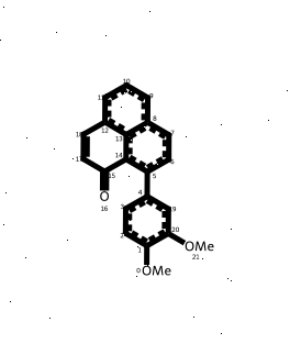 COc1ccc(-c2ccc3cccc4c3c2C(=O)C=C4)cc1OC